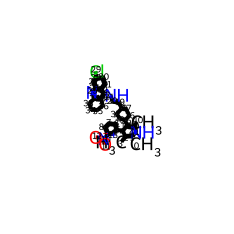 CC1=C(C)C(c2cccc([N+](=O)[O-])c2)C(C2CCC(CCNc3c4c(nc5cc(Cl)ccc35)CCCC4)CC2)=C(C)N1